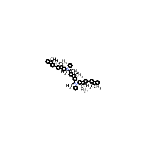 CCC(c1ccc2c(c1)-c1ccc(C(C)(CC)N(c3ccccc3)c3ccc4c(c3)C(C)(C)c3cc(-c5ccc6c(c5)C(C)(C)c5ccccc5-6)ccc3-4)cc1C2(C)C)N(c1ccccc1)c1ccc2c(c1)C(C)(C)c1cc(-c3ccc4c(c3)C(C)(C)c3ccccc3-4)ccc1-2